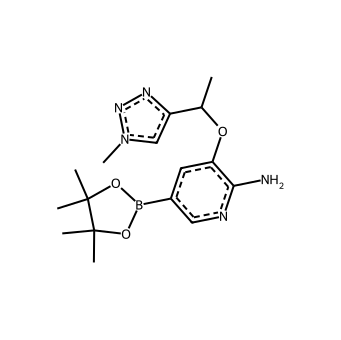 CC(Oc1cc(B2OC(C)(C)C(C)(C)O2)cnc1N)c1cn(C)nn1